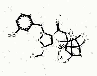 C=C(N[C@H]1C[C@H]2C[C@@H]([C@@H]1C)C2(C)C)[C@@H]1[C@H]([C@H](C)O)[C@H](CO)ON1Cc1cccc(C=O)c1